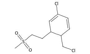 CS(=O)(=O)CCC1C=C(Cl)C=CC1CCl